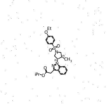 CCOc1ccc(S(=O)(=O)N2C[C@@H](C)[C@@H](n3nc(CC(=O)OC(C)C)c4ccccc43)C2)cc1